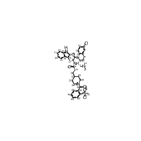 CN(C)C[C@H]1Cc2cc(Cl)ccc2N(C(=O)[C@@H](Cc2c[nH]c3ccccc23)NC(=O)CCC2CCN(C(=O)c3ccccc3S(C)(=O)=O)CC2)C1